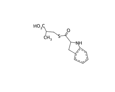 CC(CSC(=O)C1Cc2ccccc2N1)C(=O)O